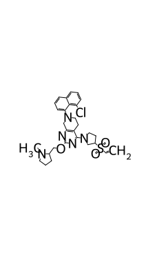 C=CS(=O)(=O)C1CCN(c2nc(OCC3CCCN3C)nc3c2CCN(c2cccc4cccc(Cl)c24)C3)C1